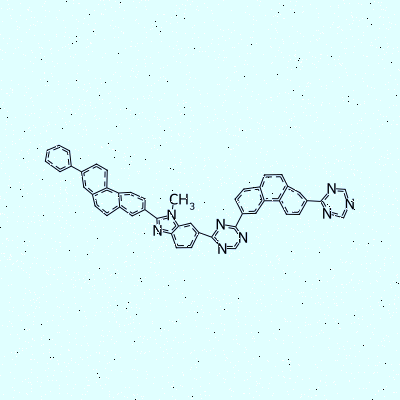 Cn1c(-c2ccc3c(ccc4cc(-c5ccccc5)ccc43)c2)nc2ccc(-c3ncnc(-c4ccc5ccc6cc(-c7ncncn7)ccc6c5c4)n3)cc21